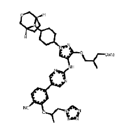 COCC(C)COc1nn(C2CCC(N3[C@@H]4CC[C@H]3COC4)CC2)cc1Nc1ncc(-c2ccc(C#N)c(OC(C)Cn3cnnn3)c2)cn1